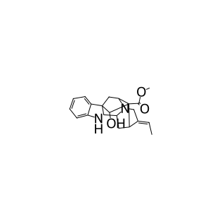 CC=C1CN2C3CC1C1(C(=O)OC)C2CC2(c4ccccc4NC32)C1O